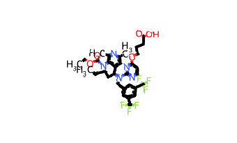 CCOC(=O)N1c2c(cc(C)nc2C)C(N(Cc2cc(C(F)(F)F)cc(C(F)(F)F)c2)c2nccc(OCCCC(=O)O)n2)CC1CC